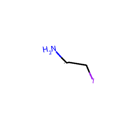 N[CH]CI